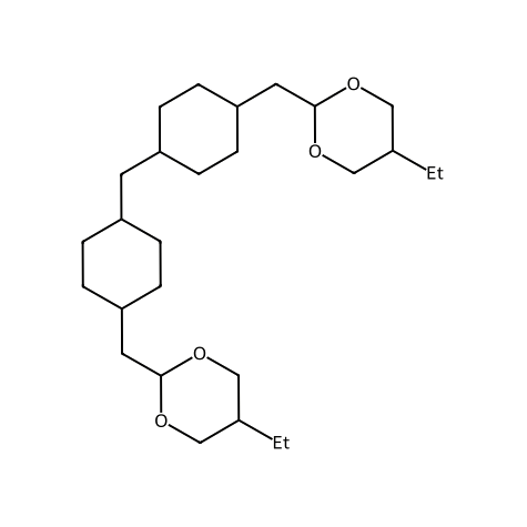 CCC1COC(CC2CCC(CC3CCC(CC4OCC(CC)CO4)CC3)CC2)OC1